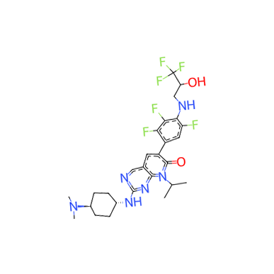 CC(C)n1c(=O)c(-c2cc(F)c(NCC(O)C(F)(F)F)c(F)c2F)cc2cnc(N[C@H]3CC[C@H](N(C)C)CC3)nc21